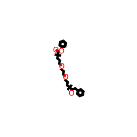 CC(C)(CCCOCCCOCCCC(C)(C)C(=O)Oc1ccccc1)C(=O)Cc1ccccc1